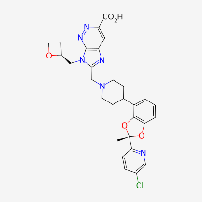 C[C@]1(c2ccc(Cl)cn2)Oc2cccc(C3CCN(Cc4nc5cc(C(=O)O)nnc5n4C[C@@H]4CCO4)CC3)c2O1